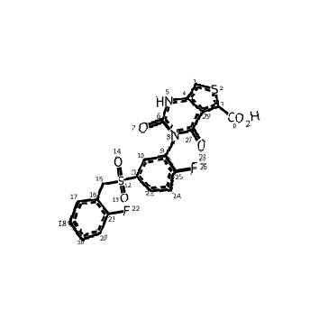 O=C(O)c1scc2[nH]c(=O)n(-c3cc(S(=O)(=O)Cc4ccccc4F)ccc3F)c(=O)c12